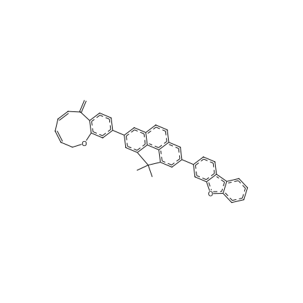 C=C1/C=C\C=C/COc2cc(-c3cc4c5c(ccc6cc(-c7ccc8c(c7)oc7ccccc78)cc(c65)C4(C)C)c3)ccc21